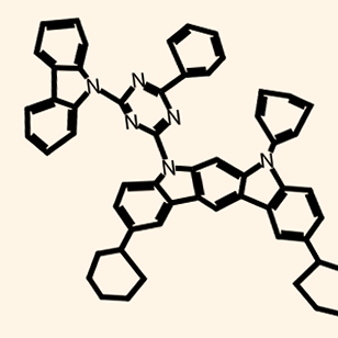 c1ccc(-c2nc(-n3c4ccccc4c4ccccc43)nc(-n3c4ccc(C5CCCCC5)cc4c4cc5c6cc(C7CCCCC7)ccc6n(-c6ccccc6)c5cc43)n2)cc1